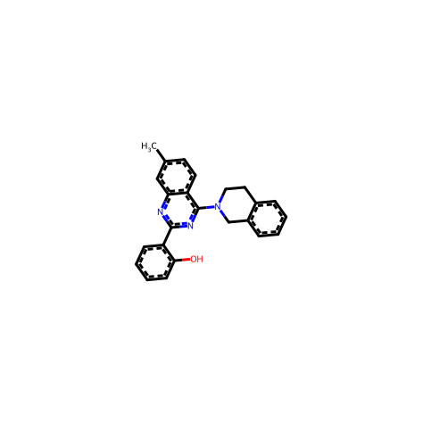 Cc1ccc2c(N3CCc4ccccc4C3)nc(-c3ccccc3O)nc2c1